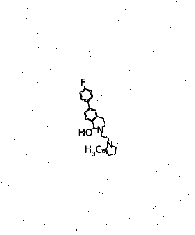 C[C@H]1CCCN1CCN1CCc2cc(-c3ccc(F)cc3)ccc2C1O